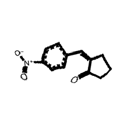 O=C1CCCC1=Cc1ccc([N+](=O)[O-])cc1